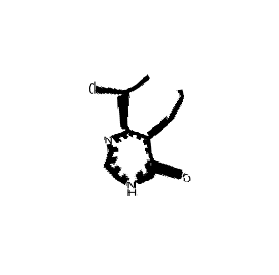 C/C=c1/c(=O)[nH]cn/c1=C(/C)Cl